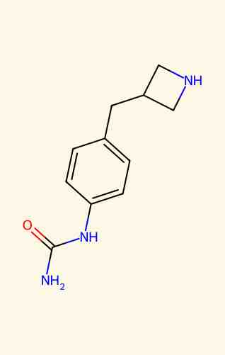 NC(=O)Nc1ccc(CC2CNC2)cc1